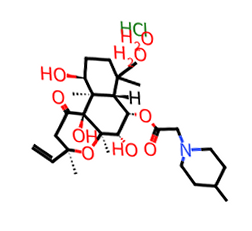 C=C[C@@]1(C)CC(=O)[C@]2(O)[C@@]3(C)[C@@H](O)CCC(C)(C)[C@@H]3[C@H](OC(=O)CN3CCC(C)CC3)[C@H](O)[C@@]2(C)O1.Cl.O.O